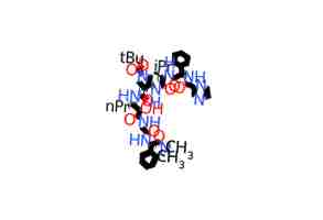 CCC[C@H](NC(=O)[C@@H]1CN(C(=O)OC(C)(C)C)C[C@@H]1NC(=O)[C@H](CC(C)C)NC(=O)[C@@H](NC(=O)c1cnccn1)C1CCCCC1)C(O)C(=O)NCC(=O)N[C@H](C(=O)N(C)C)c1ccccc1